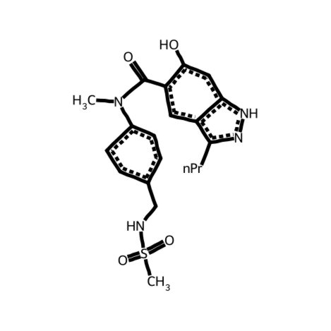 CCCc1n[nH]c2cc(O)c(C(=O)N(C)c3ccc(CNS(C)(=O)=O)cc3)cc12